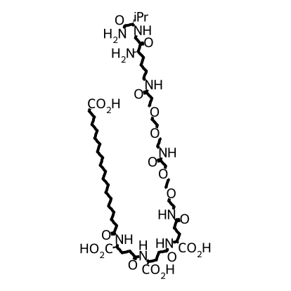 CC(C)[C@H](NCC(=O)[C@@H](N)CCCCNC(=O)CCOCCOCCNC(=O)COCCOCCNC(=O)CC[C@H](NC(=O)CC[C@H](NC(=O)CC[C@H](NC(=O)CCCCCCCCCCCCCCCCCCC(=O)O)C(=O)O)C(=O)O)C(=O)O)C(N)=O